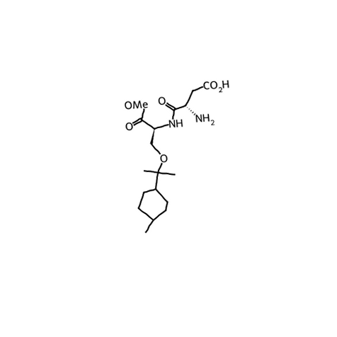 COC(=O)[C@H](COC(C)(C)C1CCC(C)CC1)NC(=O)[C@@H](N)CC(=O)O